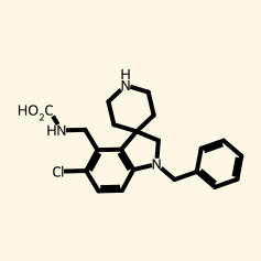 O=C(O)NCc1c(Cl)ccc2c1C1(CCNCC1)CN2Cc1ccccc1